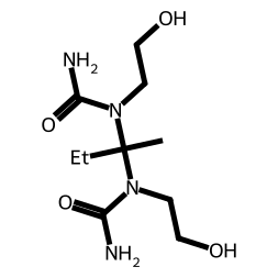 CCC(C)(N(CCO)C(N)=O)N(CCO)C(N)=O